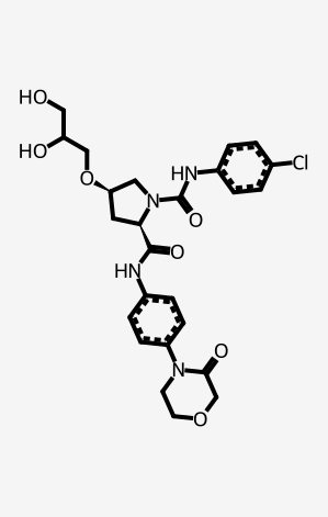 O=C(Nc1ccc(N2CCOCC2=O)cc1)[C@H]1C[C@@H](OCC(O)CO)CN1C(=O)Nc1ccc(Cl)cc1